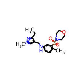 CCc1nn(C)cc1CNc1ccc(C)c(S(=O)(=O)N2CCOCC2)c1